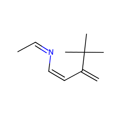 C=C(/C=C\N=C/C)C(C)(C)C